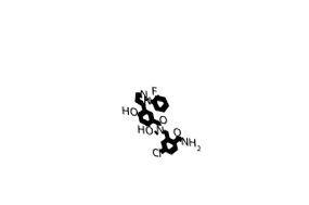 CN(Cc1cc(Cl)ccc1C(N)=O)C(=O)c1cc(-c2ccnn2-c2ccccc2F)c(O)cc1O